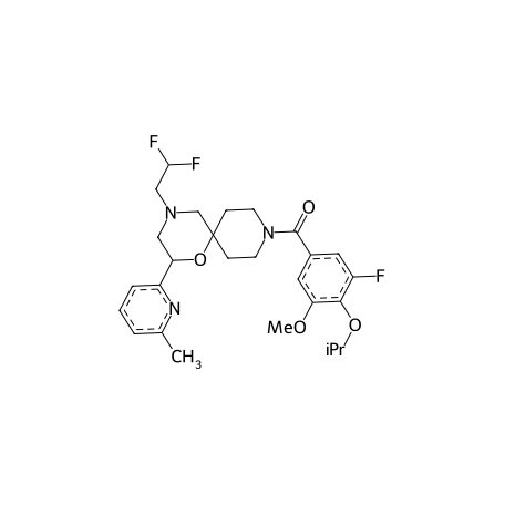 COc1cc(C(=O)N2CCC3(CC2)CN(CC(F)F)CC(c2cccc(C)n2)O3)cc(F)c1OC(C)C